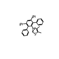 Cc1sc[n+](-c2c(-c3ccccc3)c(C(C)C)cc(C(C)C)c2-c2ccccc2)c1C